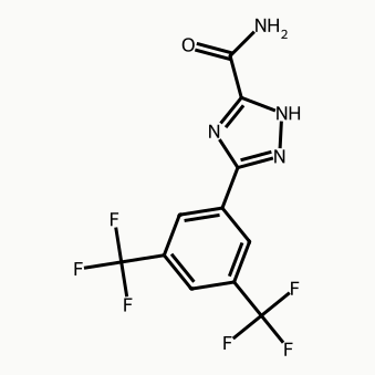 NC(=O)c1nc(-c2cc(C(F)(F)F)cc(C(F)(F)F)c2)n[nH]1